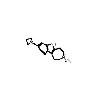 CN1CCc2[nH]c3cc(N4CCC4)ccc3c2CC1